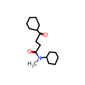 CN(C(=O)CCC(=O)C1CCCCC1)C1CCCCC1